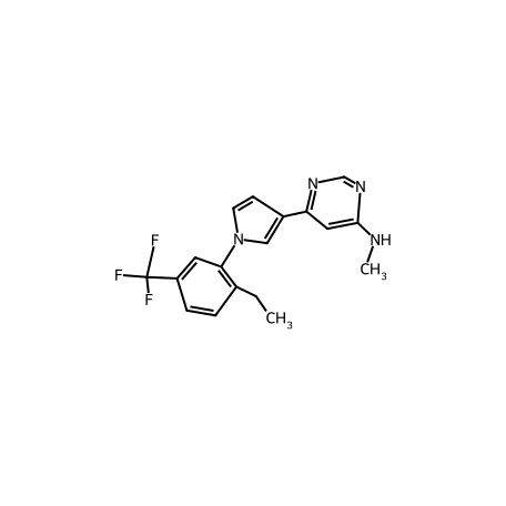 CCc1ccc(C(F)(F)F)cc1-n1ccc(-c2cc(NC)ncn2)c1